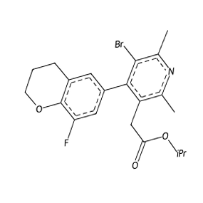 Cc1nc(C)c(CC(=O)OC(C)C)c(-c2cc(F)c3c(c2)CCCO3)c1Br